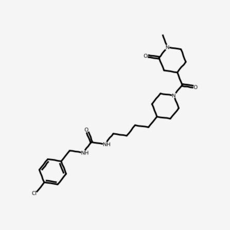 CN1CCC(C(=O)N2CCC(CCCCNC(=O)NCc3ccc(Cl)cc3)CC2)CC1=O